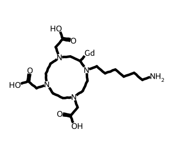 NCCCCCCN1CCN(CC(=O)O)CCN(CC(=O)O)CCN(CC(=O)O)C[CH]1[Gd]